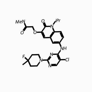 CNC(=O)COc1cc2cc(Nc3nc(N4CCC(C)(F)CC4)ncc3Cl)ccc2n(C(C)C)c1=O